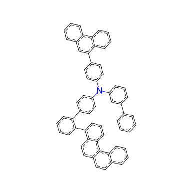 c1ccc(-c2cccc(N(c3ccc(-c4ccccc4-c4cccc5c4ccc4ccc6ccccc6c45)cc3)c3ccc(-c4cc5ccccc5c5ccccc45)cc3)c2)cc1